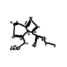 CCOC(=O)c1cnc2cccc(CO)n12